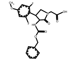 COc1cc(F)c(C2CN(CC(=O)O)C(=O)C2NC(=O)OCc2ccccc2)c(F)c1